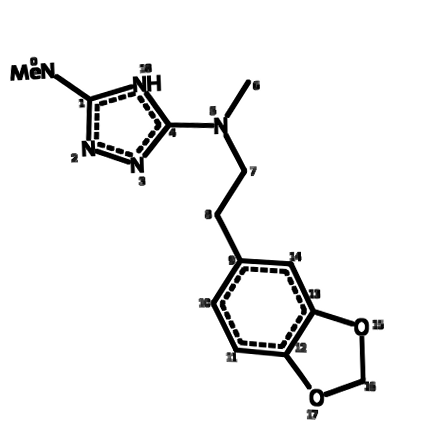 CNc1nnc(N(C)CCc2ccc3c(c2)OCO3)[nH]1